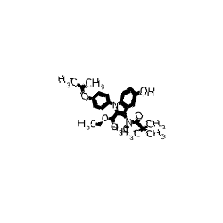 CCOC(=O)c1c(N(C)C(=O)C(C)(C)C)c2cc(O)ccc2n1-c1ccc(OC(C)C)cc1